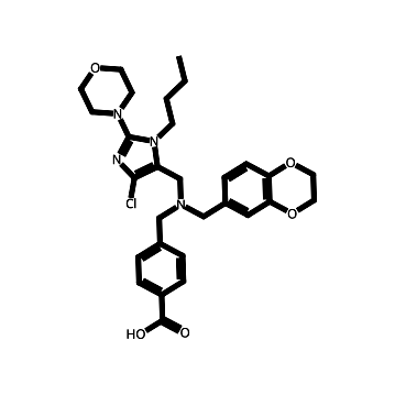 CCCCn1c(N2CCOCC2)nc(Cl)c1CN(Cc1ccc(C(=O)O)cc1)Cc1ccc2c(c1)OCCO2